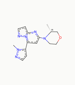 C[C@@H]1COCCN1c1cc(-c2ccnn2C)n2nccc2n1